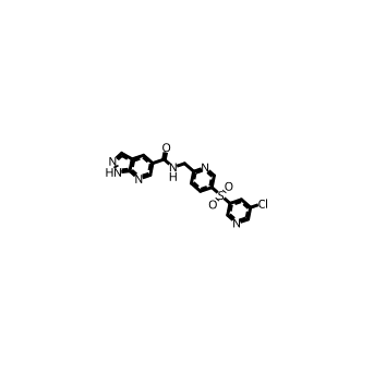 O=C(NCc1ccc(S(=O)(=O)c2cncc(Cl)c2)cn1)c1cnc2[nH]ncc2c1